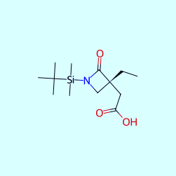 CC[C@@]1(CC(=O)O)CN([Si](C)(C)C(C)(C)C)C1=O